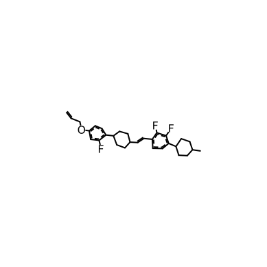 C=CCOc1ccc(C2CCC(/C=C/c3ccc(C4CCC(C)CC4)c(F)c3F)CC2)c(F)c1